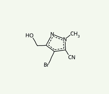 Cn1nc(CO)c(Br)c1C#N